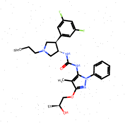 CC[C@H](O)COc1nn(-c2ccccc2)c(NC(=O)N[C@@H]2CN(CCOC)C[C@H]2c2cc(F)cc(F)c2)c1C